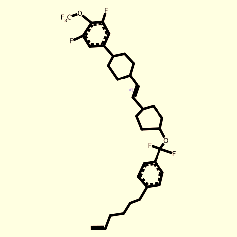 C=CCCCCc1ccc(C(F)(F)OC2CCC(/C=C/C3CCC(c4cc(F)c(OC(F)(F)F)c(F)c4)CC3)CC2)cc1